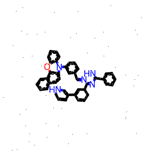 N=C(/N=C(\N=C\c1cccc(N2c3ccccc3Oc3c2ccc2ccccc32)c1)C1C=C(C2=CNCC=C2)C=CC1)c1ccccc1